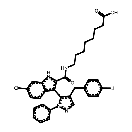 O=C(O)CCCCCCCNC(=O)c1[nH]c2cc(Cl)ccc2c1-c1c(Cc2ccc(Cl)cc2)cnn1-c1ccccc1